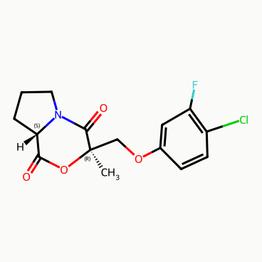 C[C@]1(COc2ccc(Cl)c(F)c2)OC(=O)[C@@H]2CCCN2C1=O